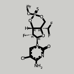 CC(C)OP1(=S)OC[C@@]2(C(F)F)O[C@@H](n3cc(Cl)c(N)nc3=O)[C@H](F)[C@@H]2O1